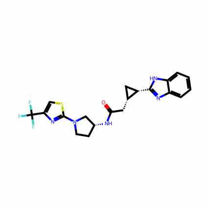 O=C(C[C@@H]1C[C@@H]1c1nc2ccccc2[nH]1)N[C@@H]1CCN(c2nc(C(F)(F)F)cs2)C1